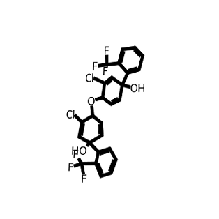 OC1(c2ccccc2C(F)(F)F)C=CC(OC2C=CC(O)(c3ccccc3C(F)(F)F)C=C2Cl)C(Cl)=C1